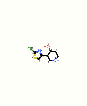 OC1CCNCC1c1csc(Cl)n1